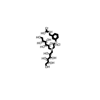 CCC(O)=[SH]Cc1cccc(OCCN(C[C@@H](O)[C@@H](O)[C@H](O)[C@H](O)CO)C[C@@H](O)[C@@H](O)[C@H](O)[C@H](O)CO)c1.Cl